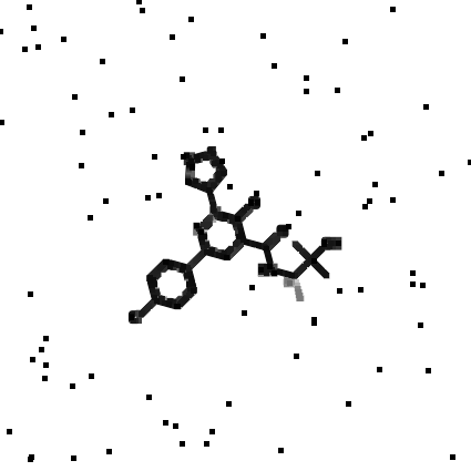 C[C@H](NC(=O)c1cc(-c2ccc(Cl)cc2)nn(-c2cnsc2)c1=O)C(C)(C)O